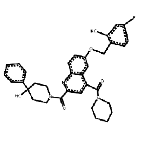 N#Cc1cc(F)ccc1COc1ccc2nc(C(=O)N3CCC(C#N)(c4ccccc4)CC3)cc(C(=O)N3CCCCC3)c2c1